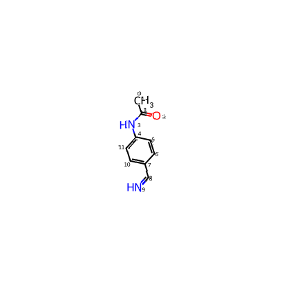 CC(=O)Nc1ccc(C=N)cc1